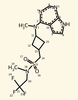 CN(c1ncnc2[nH]ccc12)C1CC(CS(=O)(=O)N(C)CC(F)(F)F)C1